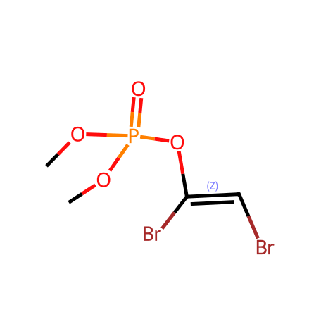 COP(=O)(OC)O/C(Br)=C/Br